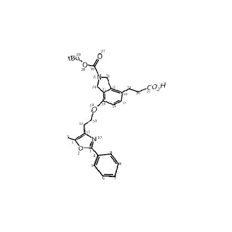 Cc1oc(-c2ccccc2)nc1CCOc1ccc(CCC(=O)O)c2c1CN(C(=O)OC(C)(C)C)C2